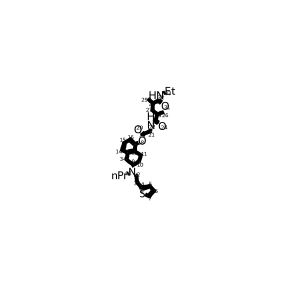 CCCN(CCc1cccs1)[C@H]1CCc2c(cccc2OC(=O)CNC(=O)C(C)CC(C)C(=O)NCC)C1